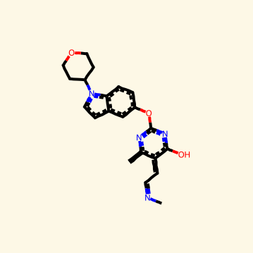 C=c1nc(Oc2ccc3c(ccn3C3CCOCC3)c2)nc(O)/c1=C/C=N\C